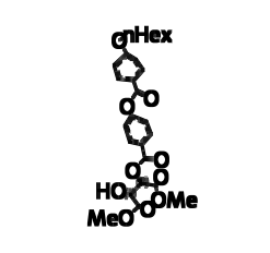 CCCCCCOc1ccc(C(=O)Oc2ccc(C(=O)O[C@@H](C(=O)OC)[C@@H](O)C(=O)OC)cc2)cc1